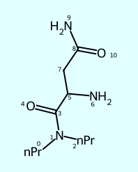 CCCN(CCC)C(=O)C(N)CC(N)=O